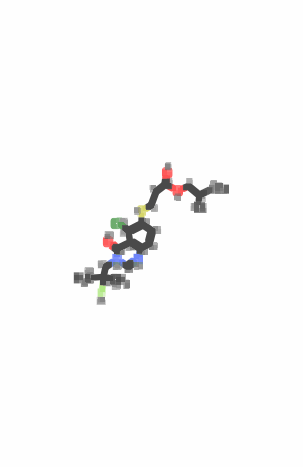 CCCCC(CC)COC(=O)CCSc1ccc2ncn(CC(C)(C)F)c(=O)c2c1Cl